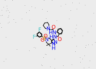 CC1(C)CN(S(=O)(=O)c2cc(F)cc(F)c2)Cc2c(NC(=O)c3ccccc3NC(=O)CN3CCCCC3)n[nH]c21